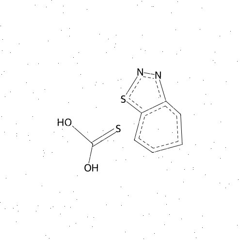 OC(O)=S.c1ccc2snnc2c1